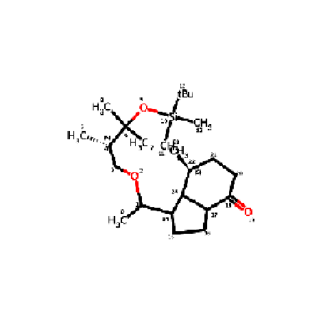 CC(OC[C@H](C)C(C)(C)O[Si](C)(C)C(C)(C)C)C1CCC2C(=O)CC[C@H](C)C21